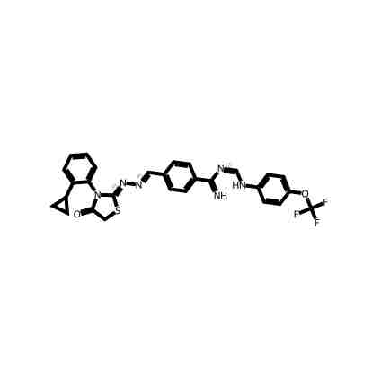 N=C(/N=C\Nc1ccc(OC(F)(F)F)cc1)c1ccc(/C=N/N=C2\SCC(=O)N2c2ccccc2C2CC2)cc1